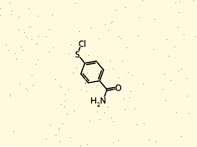 NC(=O)c1[c]cc(SCl)cc1